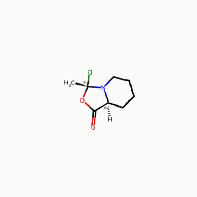 C[C@]1(Cl)OC(=O)[C@@H]2CCCCN21